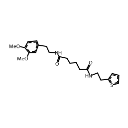 COc1ccc(CCNC(=O)CCCCC(=O)NCCc2cccs2)cc1OC